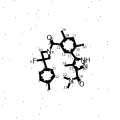 Cc1ccc(C2(F)CN(C(=O)c3cc(-c4[nH]nc(C(=O)N(C)C)c4C)c(C)cc3C)C2)cc1